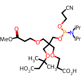 COC(=O)CCOCC(COCCC(=O)O)(COP(OCCC#N)N(C(C)C)C(C)C)COC(C)(C)CC(=O)O